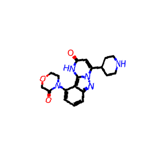 O=C1COCCN1c1cccc2nn3c(C4CCNCC4)cc(=O)[nH]c3c12